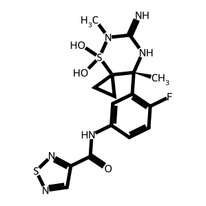 CN1C(=N)N[C@](C)(c2cc(NC(=O)c3cnsn3)ccc2F)C2(CC2)S1(O)O